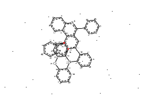 c1ccc(-c2nc3ccccc3c3c2cc(-c2ccccc2N2c4ccccc4Oc4ccccc42)c2oc4ccccc4c23)cc1